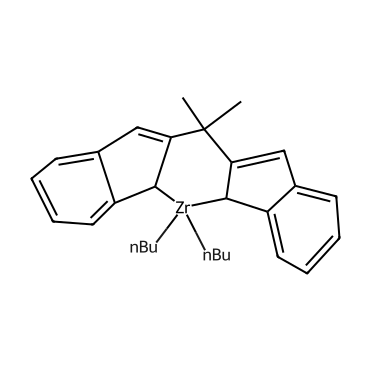 CCC[CH2][Zr]1([CH2]CCC)[CH]2C(=Cc3ccccc32)C(C)(C)C2=Cc3ccccc3[CH]21